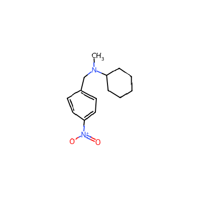 CN(Cc1ccc([N+](=O)[O-])cc1)C1CCCCC1